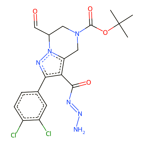 CC(C)(C)OC(=O)N1Cc2c(C(=O)N=NN)c(-c3ccc(Cl)c(Cl)c3)nn2C(C=O)C1